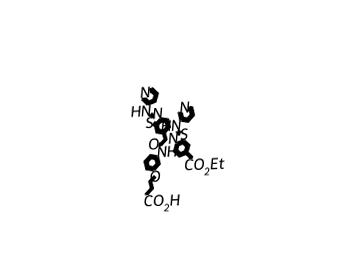 CCOC(=O)Cc1ccc2nc(Nc3cccnc3)sc2c1.O=C(O)CCCOc1cccc(NC(=O)Cc2ccc3nc(Nc4cccnc4)sc3c2)c1